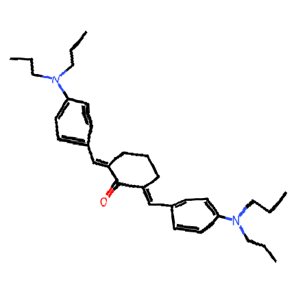 CCCN(CCC)c1ccc(C=C2CCCC(=Cc3ccc(N(CCC)CCC)cc3)C2=O)cc1